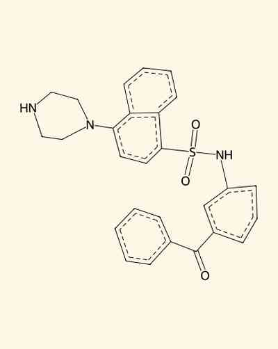 O=C(c1ccccc1)c1cccc(NS(=O)(=O)c2ccc(N3CCNCC3)c3ccccc23)c1